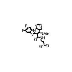 CCN(CC)CCNC(=O)c1c(NC)c2cncnc2n2c1nc1cc(F)c(F)cc12